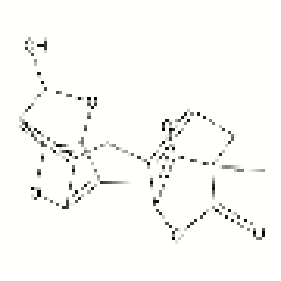 Cc1c2c3oc1c(Cc1c4oc5c1OC(=O)[C@]5(C)C4)c3C(O)O2